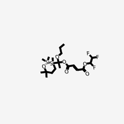 CCCOC(C)(OC(=O)C=CC(=O)OC(F)C(F)F)[Si]1(C)CCC(C)(C)O[Si]1(C)C